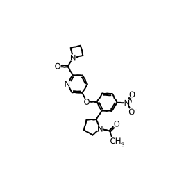 CC(=O)N1CCCC1c1cc([N+](=O)[O-])ccc1Oc1ccc(C(=O)N2CCC2)nc1